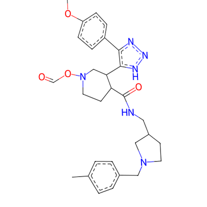 COc1ccc(-c2nn[nH]c2C2CN(OC=O)CCC2C(=O)NCC2CCN(Cc3ccc(C)cc3)C2)cc1